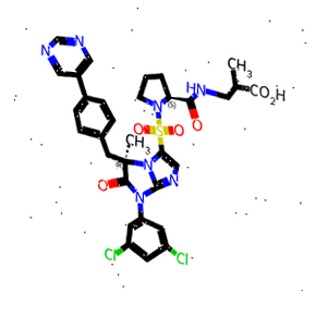 CC(CNC(=O)[C@@H]1CCCN1S(=O)(=O)c1cnc2n1[C@](C)(Cc1ccc(-c3cncnc3)cc1)C(=O)N2c1cc(Cl)cc(Cl)c1)C(=O)O